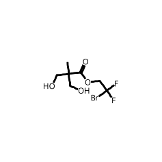 CC(CO)(CO)C(=O)OCC(F)(F)Br